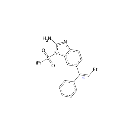 CC/C=C(/c1ccccc1)c1ccc2nc(N)n(S(=O)(=O)C(C)C)c2c1